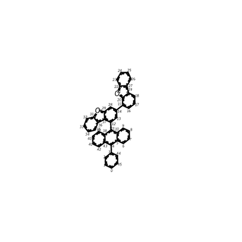 c1ccc(-c2c3ccccc3c(-c3cc(-c4cccc5c4oc4ccccc45)cc4oc5ccccc5c34)c3ccccc23)cc1